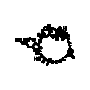 C=C1CC2CC[C@@]34C[C@H]5OC6C(O3)[C@H]3OC(CCC3O[C@H]6C5O4)CC(=O)CC3[C@@H](OC)C(CC(O)CO)O[C@H]3CC(O)C(=C)[C@H](C)CCCCC1O2